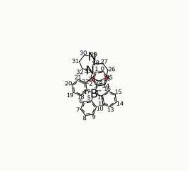 c1ccc([B-](c2ccccc2)(c2ccccc2)c2ccccc2C2CCCCC3=NCCCN32)cc1